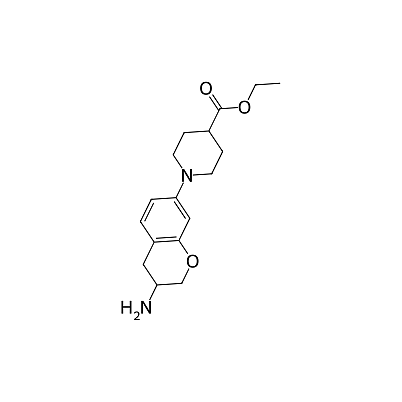 CCOC(=O)C1CCN(c2ccc3c(c2)OCC(N)C3)CC1